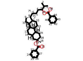 CC(C)C(CC[C@@H](C)[C@H]1CC[C@H]2[C@@H]3CC[C@H]4C[C@@](C)(OC(=O)c5ccccc5)CC[C@@H]4[C@H]3CC[C@]12C)OC(=O)c1ccccc1